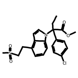 CCC(C(=O)OC)(c1ccc(Cl)cc1)n1ccc2c(CCS(C)(=O)=O)cccc21